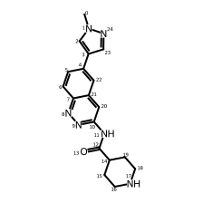 Cn1cc(-c2ccc3nnc(NC(=O)C4CCNCC4)cc3c2)cn1